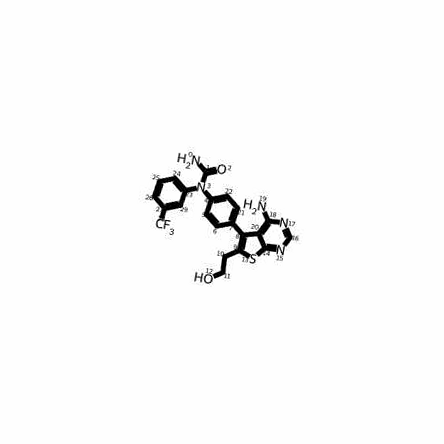 NC(=O)N(c1ccc(-c2c(CCO)sc3ncnc(N)c23)cc1)c1cccc(C(F)(F)F)c1